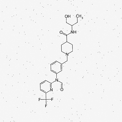 CCC(CO)NC(=O)C1CCN(Cc2cccc(N(C=O)c3cccc(C(F)(F)F)n3)c2)CC1